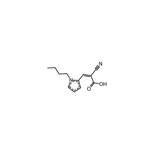 CCCCn1cccc1C=C(C#N)C(=O)O